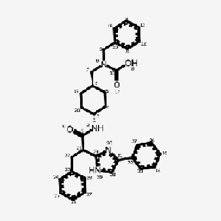 O=C(N[C@H]1CC[C@H](CN(Cc2ccccc2)C(=O)O)CC1)C(Cc1ccccc1)c1nc(-c2ccccc2)c[nH]1